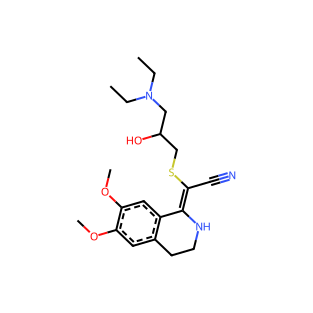 CCN(CC)CC(O)CSC(C#N)=C1NCCc2cc(OC)c(OC)cc21